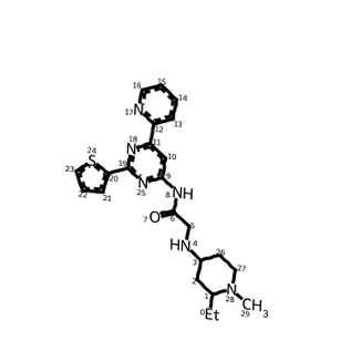 CCC1CC(NCC(=O)Nc2cc(-c3ccccn3)nc(-c3cccs3)n2)CCN1C